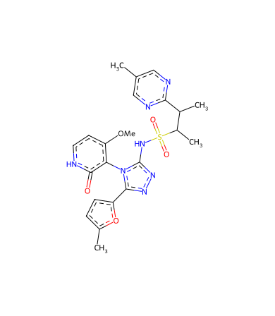 COc1cc[nH]c(=O)c1-n1c(NS(=O)(=O)C(C)C(C)c2ncc(C)cn2)nnc1-c1ccc(C)o1